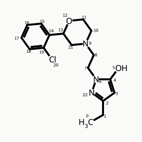 CCc1cc(O)n(CCN2CCOC(c3ccccc3Cl)C2)n1